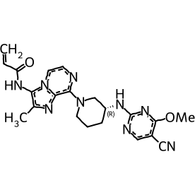 C=CC(=O)Nc1c(C)nc2c(N3CCC[C@@H](Nc4ncc(C#N)c(OC)n4)C3)nccn12